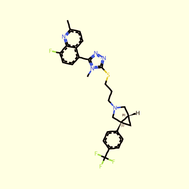 Cc1ccc2c(-c3nnc(SCCCN4C[C@@H]5C[C@]5(c5ccc(C(F)(F)F)cc5)C4)n3C)ccc(F)c2n1